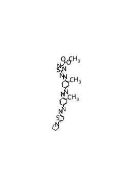 COC(=O)c1nsc(/N=N/c2ccc(/N=N/c3ccc(/N=N/c4ccc(N5CCCC5)s4)cc3C)cc2C)n1